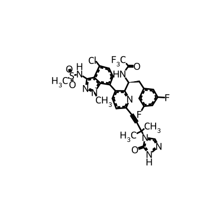 Cn1nc(NS(C)(=O)=O)c2c(Cl)ccc(-c3ccc(C#CC(C)(C)n4cn[nH]c4=O)nc3[C@H](Cc3cc(F)cc(F)c3)NC(=O)C(F)(F)F)c21